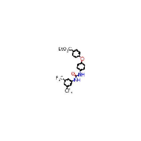 CCOC(=O)c1ccc(Oc2ccc(NC(=O)Nc3cc(C(F)(F)F)cc(C(F)(F)F)c3)cc2)cc1